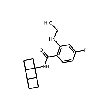 CSNc1cc(F)ccc1C(=O)NC12C3C4C5C3C1C5C42